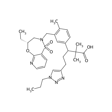 CCCn1cc(CCC(c2ccc(C)c(CN3C[C@@H](CC)Oc4ncccc4S3(=O)=O)c2)C(C)(C)C(=O)O)nn1